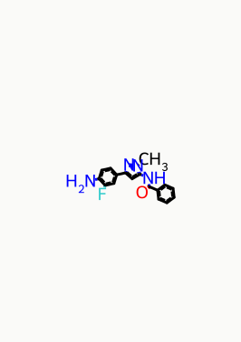 Cn1nc(-c2ccc(N)c(F)c2)cc1NC(=O)c1ccccc1